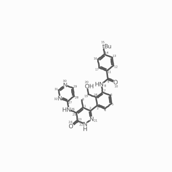 Cc1c(-c2cccc(NC(=O)c3ccc(C(C)(C)C)cc3)c2CO)n[nH]c(=O)c1Nc1ccncn1